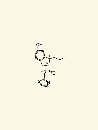 CCC[C@@H]1c2cc(O)ccc2C[C@]1(C)C(=O)Nc1nccs1